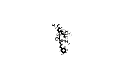 C=C/C(C)=C/C1(C)SC(=C)C=C1OCC(=O)NCCCc1ccccc1